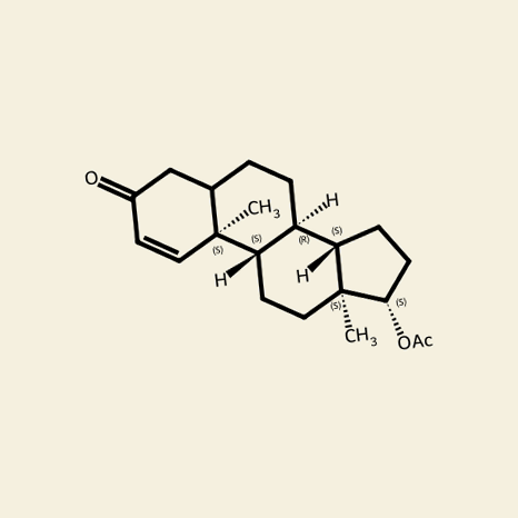 CC(=O)O[C@H]1CC[C@H]2[C@@H]3CCC4CC(=O)C=C[C@]4(C)[C@H]3CC[C@]12C